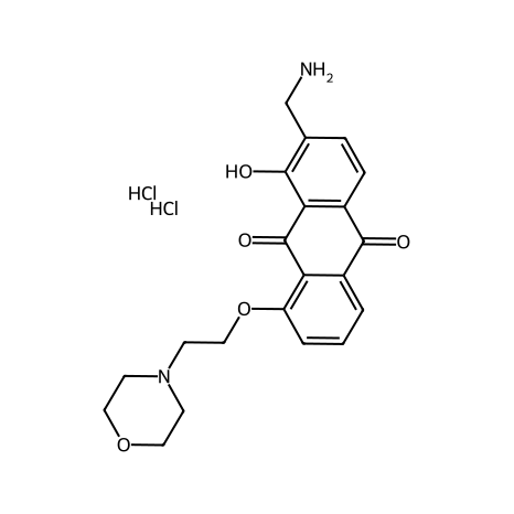 Cl.Cl.NCc1ccc2c(c1O)C(=O)c1c(OCCN3CCOCC3)cccc1C2=O